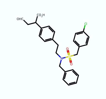 O=CCC(C(=O)O)c1ccc(CCN(Cc2ccccc2)S(=O)(=O)Cc2ccc(Cl)cc2)cc1